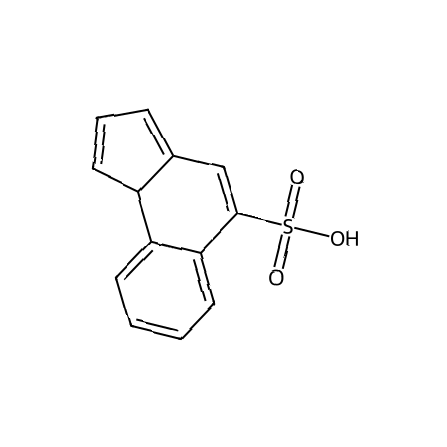 O=S(=O)(O)C1=CC2=CC=CC2c2ccccc21